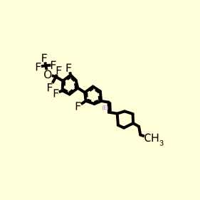 CCCC1CCC(/C=C/c2ccc(-c3cc(F)c(C(F)(F)OC(F)(F)F)c(F)c3)c(F)c2)CC1